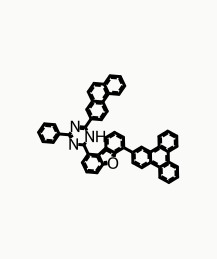 c1ccc(C2=NC(c3cccc4oc5c(-c6ccc7c8ccccc8c8ccccc8c7c6)cccc5c34)NC(c3ccc4c(ccc5ccccc54)c3)=N2)cc1